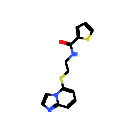 O=C(NCCSc1cccc2nccn12)c1cccs1